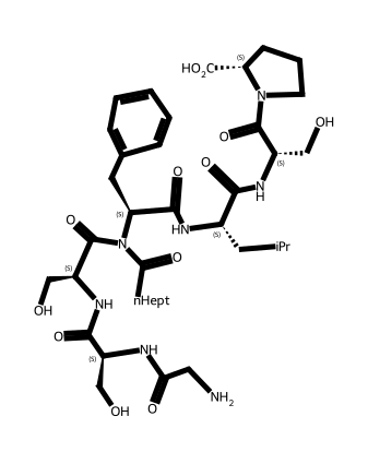 CCCCCCCC(=O)N(C(=O)[C@H](CO)NC(=O)[C@H](CO)NC(=O)CN)[C@@H](Cc1ccccc1)C(=O)N[C@@H](CC(C)C)C(=O)N[C@@H](CO)C(=O)N1CCC[C@H]1C(=O)O